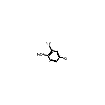 [2H]c1cc(Cl)ccc1C#N